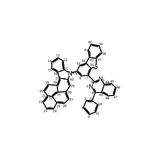 c1ccc(-c2nc(-c3cc(-n4c5ccccc5c5c6ccc7cccc8ccc(cc54)c6c87)cc4c3sc3ccccc34)nc3ccccc23)cc1